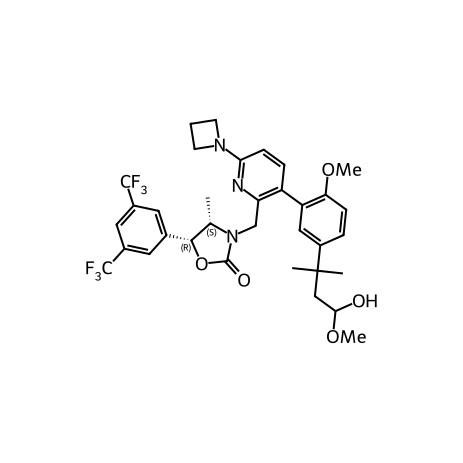 COc1ccc(C(C)(C)CC(O)OC)cc1-c1ccc(N2CCC2)nc1CN1C(=O)O[C@H](c2cc(C(F)(F)F)cc(C(F)(F)F)c2)[C@@H]1C